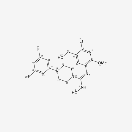 CCc1nc(OC)c(N=C(NO)N2CCN(c3cc(F)cc(F)c3)CC2)cc1CO